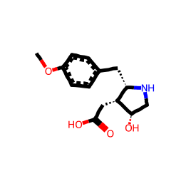 COc1ccc(C[C@@H]2NC[C@H](O)[C@@H]2CC(=O)O)cc1